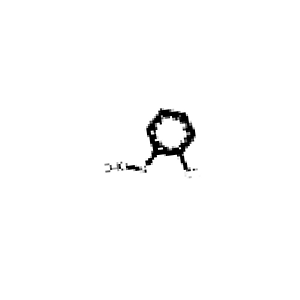 O=COc1ccccc1C(F)(F)F